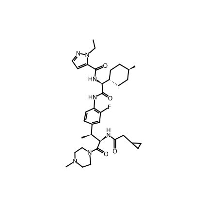 CCn1nccc1C(=O)N[C@H](C(=O)Nc1ccc([C@H](C)[C@@H](NC(=O)CC2CC2)C(=O)N2CCN(C)CC2)cc1F)[C@H]1CC[C@H](C)CC1